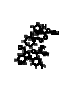 CC(C)N(C(=O)c1cc(F)ccc1-n1cc(C(=O)[C@@H]2CCCN(C(=O)[C@@H]3[C@H]4CC[C@H](C4)N3C(=O)OC(C)(C)C)CC2)c2ccncc21)C(C)C